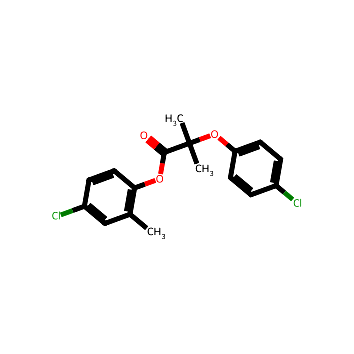 Cc1cc(Cl)ccc1OC(=O)C(C)(C)Oc1ccc(Cl)cc1